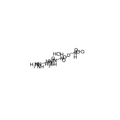 COC(NC(=O)C=CCCCCNC(=N)N)C(=O)NCCCCNC(=O)OCc1ccc(CCCNC(=O)OCc2ccccc2)cc1.Cl